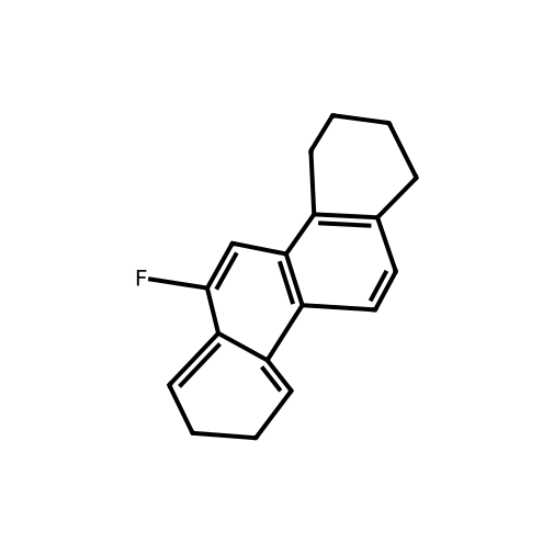 Fc1cc2c3c(ccc2c2c1=CCCC=2)CCCC3